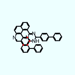 c1ccc(-c2ccc(C3N=C(c4cccc5ccc6ncc7ccccc7c6c45)N=C(c4ccccc4-c4ccccc4)N3)cc2)cc1